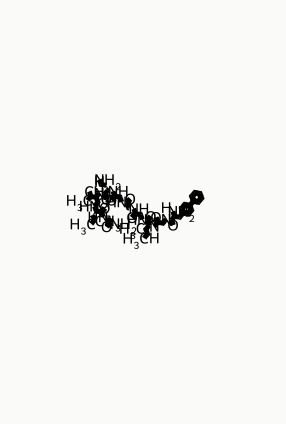 CC[C@H](C)C(NC(=O)CNC(=O)C(N)Cc1ccc(-c2ccccc2)cc1)C(=O)NCC(=O)NCC(=O)NCC(=O)N[C@@H](CCN)C(=O)NC(C(=O)N[C@@H](CC(C)C)C(=O)NCC(N)=O)C(C)C